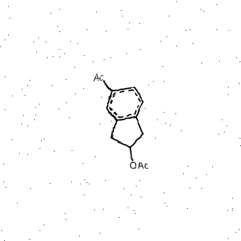 CC(=O)OC1Cc2ccc(C(C)=O)cc2C1